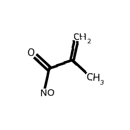 C=C(C)C(=O)N=O